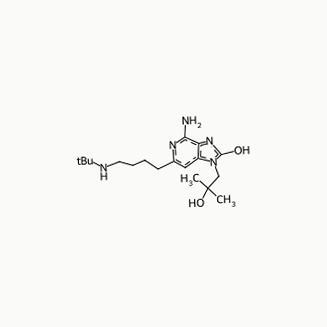 CC(C)(O)Cn1c(O)nc2c(N)nc(CCCCNC(C)(C)C)cc21